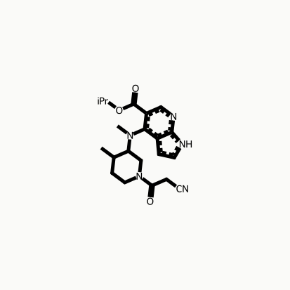 CC(C)OC(=O)c1cnc2[nH]ccc2c1N(C)C1CN(C(=O)CC#N)CCC1C